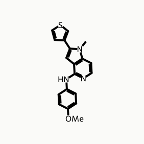 COc1ccc(Nc2nccc3c2cc(-c2ccsc2)n3C)cc1